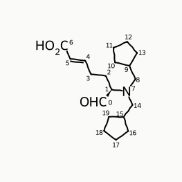 O=C[C@@H](CC/C=C/C(=O)O)N(CC1CCCC1)CC1CCCC1